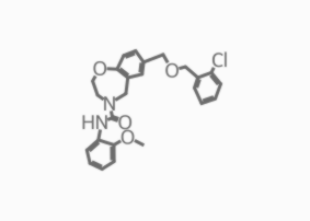 COc1ccccc1NC(=O)N1CCOc2ccc(COCc3ccccc3Cl)cc2C1